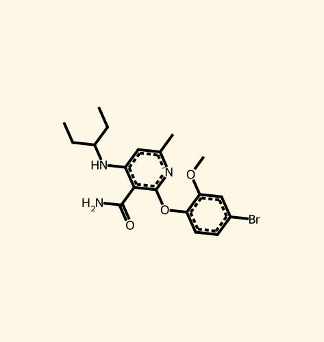 CCC(CC)Nc1cc(C)nc(Oc2ccc(Br)cc2OC)c1C(N)=O